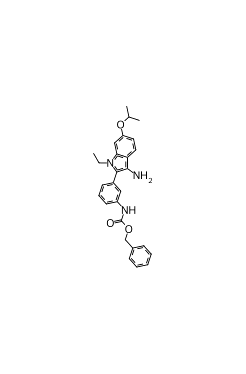 CCn1c(-c2cccc(NC(=O)OCc3ccccc3)c2)c(N)c2ccc(OC(C)C)cc21